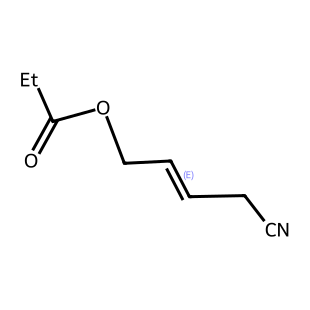 CCC(=O)OC/C=C/CC#N